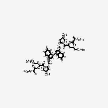 CN[C@@H](C)C(=O)NC(CCCOC)C(=O)N1C[C@@H](O)C[C@H]1CNc1cn(-n2cc(NC[C@@H]3C[C@H](O)CN3C(=O)[C@H](CCOC)NC(=O)[C@H](C)NC)c3ccc(F)cc32)c2cc(F)ccc12